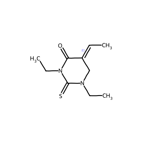 C/C=C1\CN(CC)C(=S)N(CC)C1=O